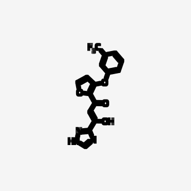 O=C(C=C(O)c1nc[nH]n1)c1occc1Oc1cccc(C(F)(F)F)c1